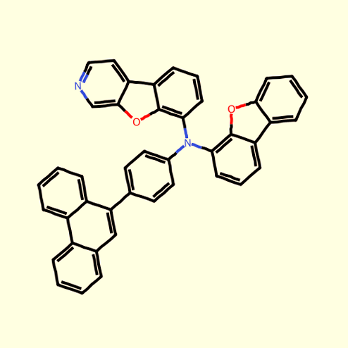 c1ccc2c(c1)cc(-c1ccc(N(c3cccc4c3oc3ccccc34)c3cccc4c3oc3cnccc34)cc1)c1ccccc12